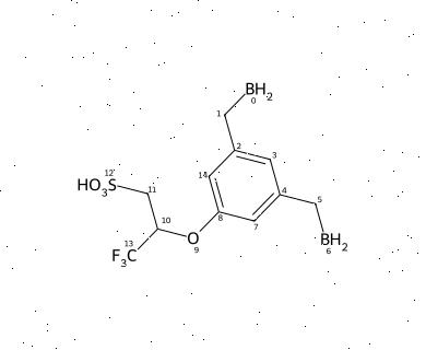 BCc1cc(CB)cc(OC(CS(=O)(=O)O)C(F)(F)F)c1